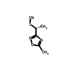 Cc1nc([C@@H](C)SC#N)no1